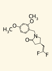 COc1ccc(CN2C[C@@H](C=C(F)F)CC2=O)c(OC)c1